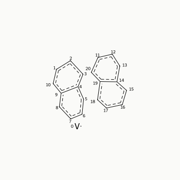 [V].c1ccc2ccccc2c1.c1ccc2ccccc2c1